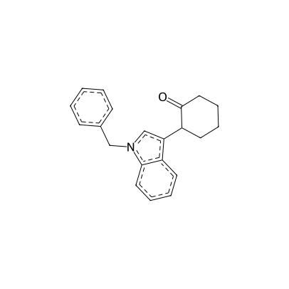 O=C1CCCCC1c1cn(Cc2ccccc2)c2ccccc12